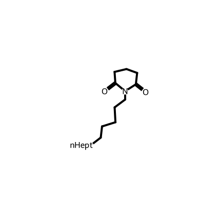 CCCCCCCCCCCCN1C(=O)CCCC1=O